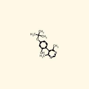 Cc1ncnc(C)c1-c1ccc(OC(C)(C)C)cc1O